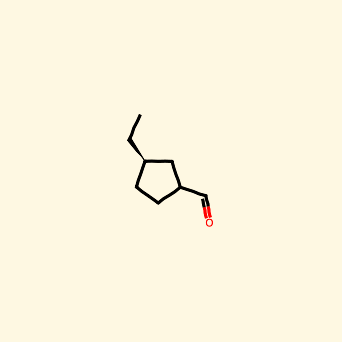 CC[C@@H]1CCC(C=O)C1